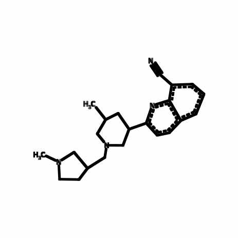 CC1CC(c2ccc3cccc(C#N)c3n2)CN(CC2CCN(C)C2)C1